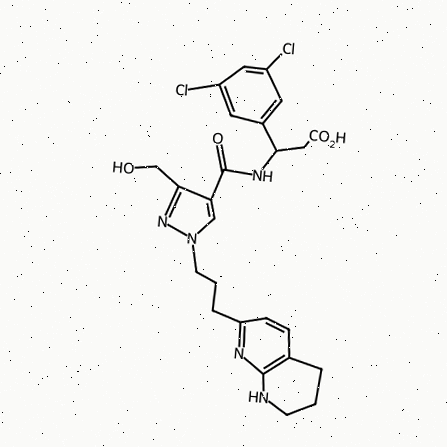 O=C(O)CC(NC(=O)c1cn(CCCc2ccc3c(n2)NCCC3)nc1CO)c1cc(Cl)cc(Cl)c1